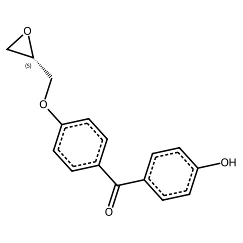 O=C(c1ccc(O)cc1)c1ccc(OC[C@@H]2CO2)cc1